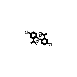 CC(Cl)c1cc(Cl)ccc1S(=O)(=O)c1ccc(Cl)cc1C(C)Cl